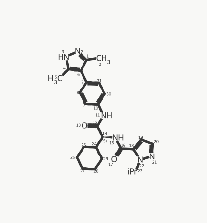 Cc1n[nH]c(C)c1-c1ccc(NC(=O)[C@@H](NC(=O)c2ccnn2C(C)C)C2CCCCC2)cc1